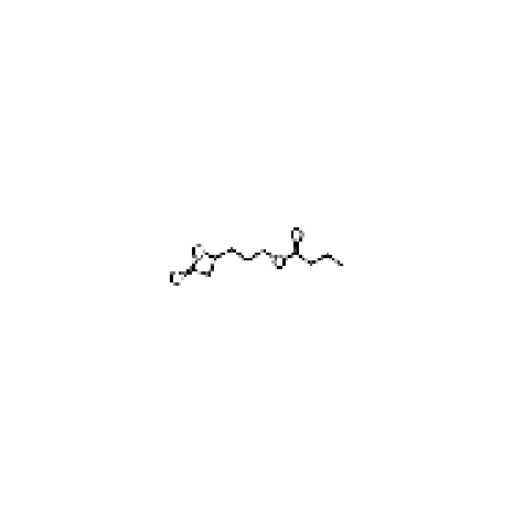 CCCC(=O)OCCCC1CC(=O)O1